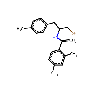 C=C(NC(CS)Cc1ccc(C)cc1)c1ccc(C)cc1C